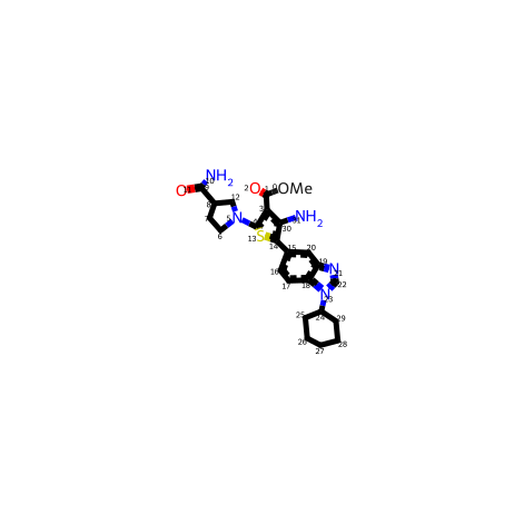 COC(=O)c1c(N2CCC(C(N)=O)C2)sc(-c2ccc3c(c2)ncn3C2CCCCC2)c1N